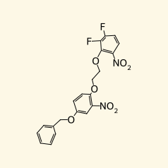 O=[N+]([O-])c1cc(OCc2ccccc2)ccc1OCCOc1c([N+](=O)[O-])ccc(F)c1F